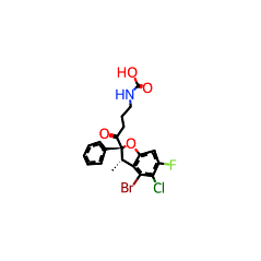 C[C@H]1c2c(cc(F)c(Cl)c2Br)O[C@]1(C(=O)CCCNC(=O)O)c1ccccc1